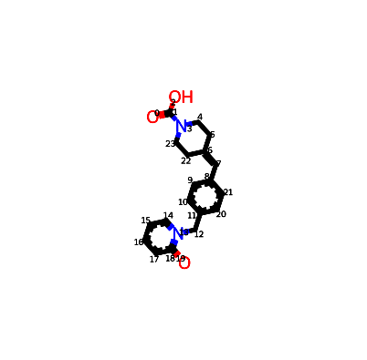 O=C(O)N1CCC(=Cc2ccc(Cn3ccccc3=O)cc2)CC1